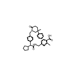 Cc1cc(CNC(=O)C(c2ccc(CN3CC(C)(c4ccccc4)CCC3=O)cc2)C2CCCC2)ccc1C(=O)O